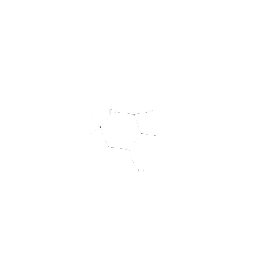 CCCCN1CC(CC)(CC)NC(CC)(CC)C1C=O